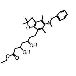 CCOC(=O)CC(O)CC(O)CCc1c(C)c(N(C)Cc2ccccc2)c(C)c2c1OC(C)(C)C2